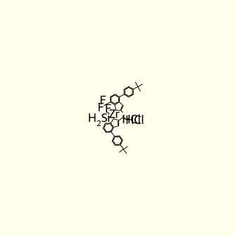 CC1=Cc2c(-c3ccc(C(C)(C)C)cc3)ccc(C(F)(F)F)c2[CH]1[Zr]([CH3])([CH3])(=[SiH2])[CH]1C(C(C)C)=Cc2c(-c3ccc(C(C)(C)C)cc3)cccc21.Cl.Cl